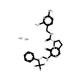 Cc1nc(N)ccc1CNC(=O)[C@@H]1CCc2cnc(NC[C@@H](c3ccccc3)C(F)(F)F)c(=O)n21.Cl.Cl